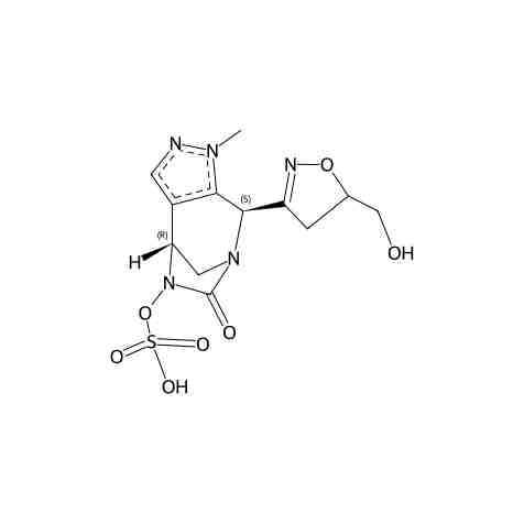 Cn1ncc2c1[C@@H](C1=NOC(CO)C1)N1C[C@@H]2N(OS(=O)(=O)O)C1=O